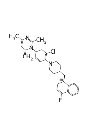 C=C1C=C(C)N=C(C)N1C1C=CC(N2CCC(C[C@@H]3CC=C(F)c4ccccc43)CC2)=C(Cl)C1